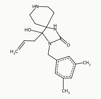 C=CCC1(O)N(Cc2cc(C)cc(C)c2)C(=O)NC12CCNCC2